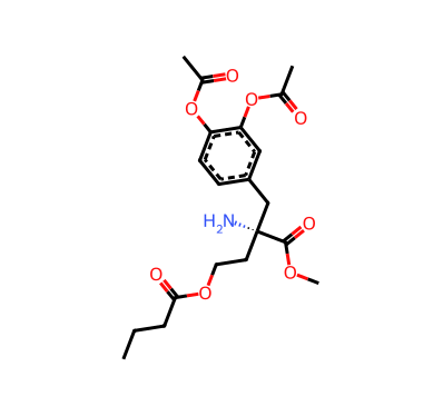 CCCC(=O)OCC[C@@](N)(Cc1ccc(OC(C)=O)c(OC(C)=O)c1)C(=O)OC